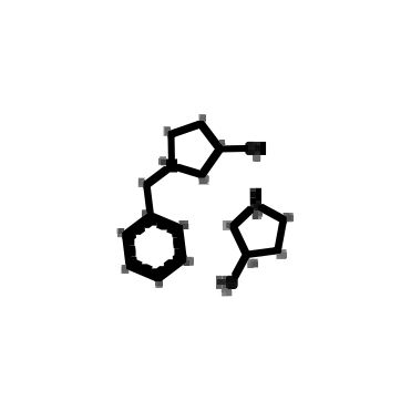 OC1CCN(Cc2ccccc2)C1.OC1CCNC1